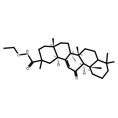 CCONC(=O)C1(C)CC[C@]2(C)CC[C@]3(C)C(=CC(=O)[C@@H]4[C@@]5(C)CCCC(C)(C)C5CC[C@]43C)[C@H]2C1